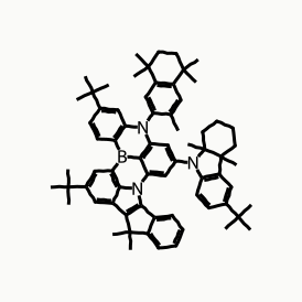 Cc1cc2c(cc1N1c3cc(C(C)(C)C)ccc3B3c4c1cc(N1c5ccc(C(C)(C)C)cc5C5(C)CCCCC15C)cc4-n1c4c(c5cc(C(C)(C)C)cc3c51)C(C)(C)c1ccccc1-4)C(C)(C)CCC2(C)C